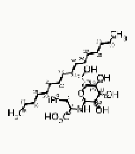 CC(C)CC(NC1O[C@H](CO)[C@@H](O)[C@H](O)[C@H]1O)C(=O)O.CCCCCCCCCCCCCCCC